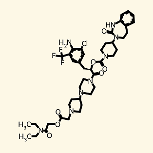 CCN(CC)C(=O)COC(=O)CN1CCC(N2CCN(C(=O)[C@@H](Cc3cc(Cl)c(N)c(C(F)(F)F)c3)OC(=O)N3CCC(N4CCc5ccccc5NC4=O)CC3)CC2)CC1